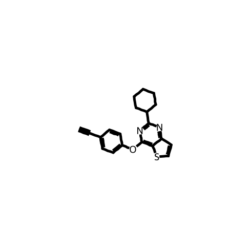 C#Cc1ccc(Oc2nc(C3CCCCC3)nc3ccsc23)cc1